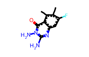 Cc1c(F)cc2nc(N)n(N)c(=O)c2c1C